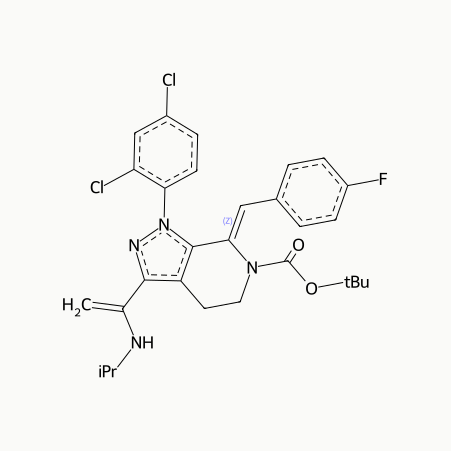 C=C(NC(C)C)c1nn(-c2ccc(Cl)cc2Cl)c2c1CCN(C(=O)OC(C)(C)C)/C2=C\c1ccc(F)cc1